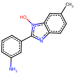 Cc1ccc2nc(-c3cccc(N)c3)n(O)c2c1